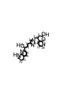 O=C(O)CC(Cn1cnc(C=CC(O)c2ccc3c(n2)NCCC3)c1)c1cccnc1